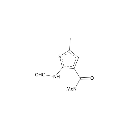 CNC(=O)c1cc(C)sc1NC=O